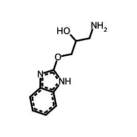 NCC(O)COc1nc2ccccc2[nH]1